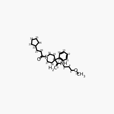 C=C(NCCCOC)C1(c2ccccc2)CCN(C(=O)CCC2CCCC2)CC1